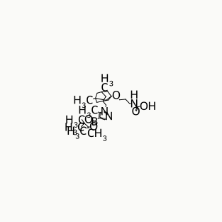 Cc1c(B2OC(C)(C)C(C)(C)O2)cnn1CC12CC3(C)CC(C)(C1)CC(OCCCNC(=O)O)(C3)C2